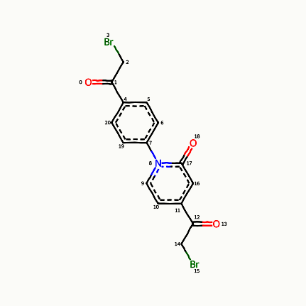 O=C(CBr)c1ccc(-n2ccc(C(=O)CBr)cc2=O)cc1